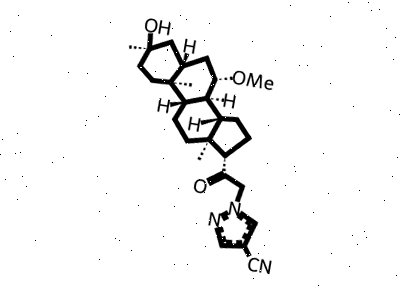 CO[C@H]1C[C@H]2C[C@](C)(O)CC[C@]2(C)[C@H]2CC[C@]3(C)[C@@H](C(=O)Cn4cc(C#N)cn4)CC[C@H]3[C@H]12